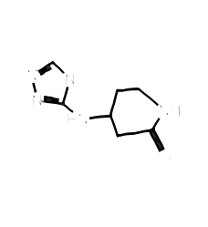 O=C1CC(NC2=NN=C[N]2)CCN1